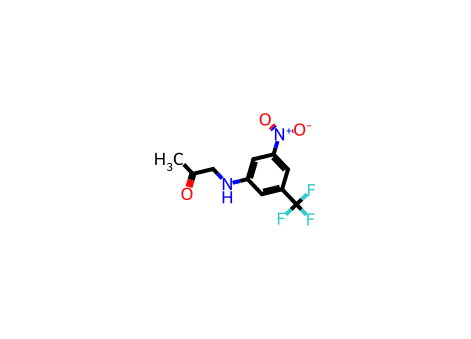 CC(=O)CNc1cc([N+](=O)[O-])cc(C(F)(F)F)c1